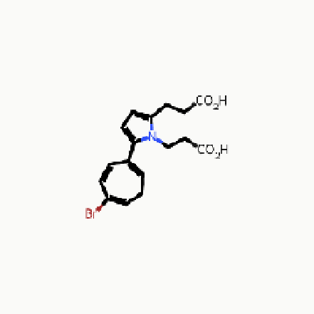 O=C(O)CCc1ccc(C2=CCC=C(Br)C=C2)n1CCC(=O)O